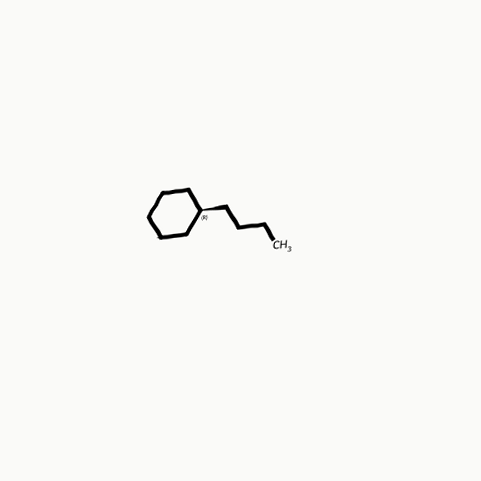 CCCC[C@H]1C[CH]CCC1